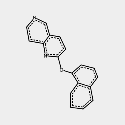 c1ccc2c(Oc3ccc4cnccc4n3)cccc2c1